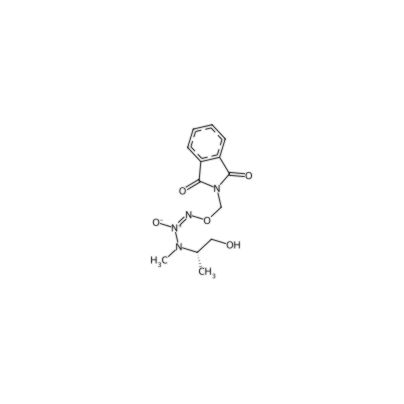 C[C@@H](CO)N(C)/[N+]([O-])=N\OCN1C(=O)c2ccccc2C1=O